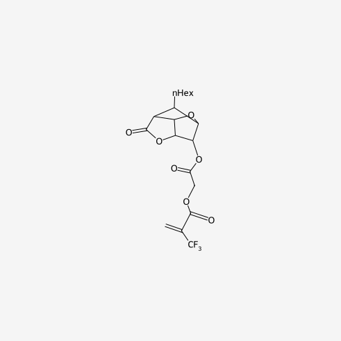 C=C(C(=O)OCC(=O)OC1C2OC3C1OC(=O)C3C2CCCCCC)C(F)(F)F